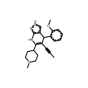 CC#CC1=C(C2CCN(C)CC2)Nc2n[nH]cc2C1c1ccccc1OC